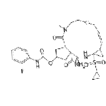 CN1CCCCC=CC2CC2(S(=O)(=O)C2CC2)NC(=O)C2(C(N)=O)CC(OC(=O)Nc3ccccc3F)CC2C1=O